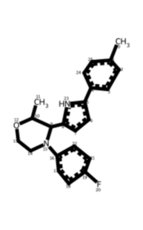 Cc1ccc(-c2ccc(C3C(C)OCCN3c3ccc(F)cc3)[nH]2)cc1